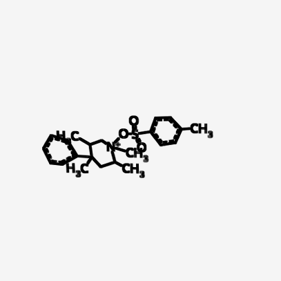 Cc1ccc(S(=O)(=O)O[N+]2(C)CC(C)C(C)(c3ccccc3)CC2C)cc1